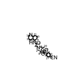 CC1CN(CC(=O)Nc2cccc3ncccc23)CC(C)N1S(=O)(=O)c1ccc(C#N)cc1